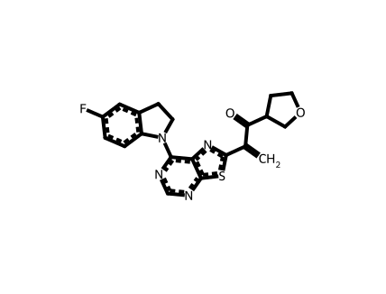 C=C(C(=O)C1CCOC1)c1nc2c(N3CCc4cc(F)ccc43)ncnc2s1